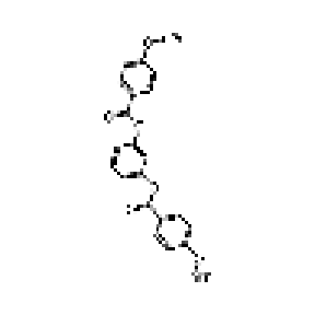 CCCOc1ccc(C(=O)Oc2cccc(OC(=O)c3ccc(OCCC)cc3)c2)cc1